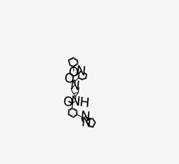 O=C(NC1C2CN(C(=O)c3cccnc3Oc3ccccc3)CC21)c1cccc(-c2cn3ccccc3n2)c1